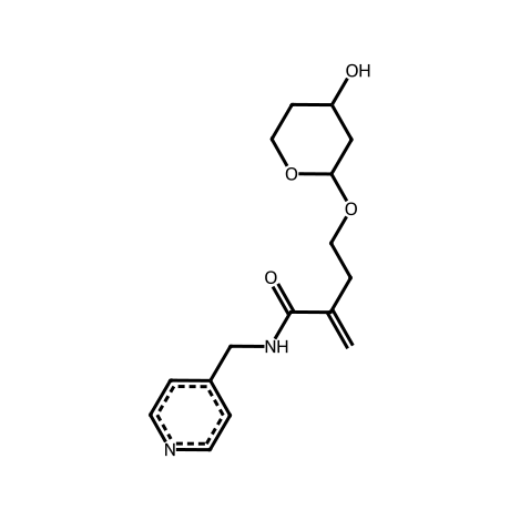 C=C(CCOC1CC(O)CCO1)C(=O)NCc1ccncc1